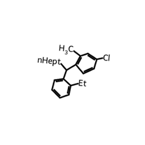 CCCCCCCC(c1ccc(Cl)cc1C)c1ccccc1CC